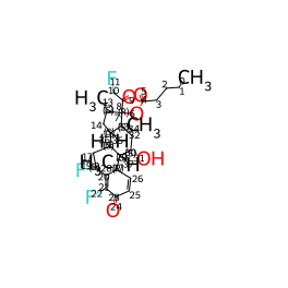 CCCCC(=O)O[C@]1(C(=O)CF)[C@@H](C)C[C@H]2[C@@H]3C[C@H](F)C4=C(F)C(=O)C=C[C@]4(C)[C@H]3[C@@H](O)C[C@@]21C